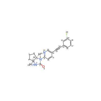 O=C1N[C@H]2CCC[C@H]2N1c1ccc(C#Cc2cccc(F)c2)cn1